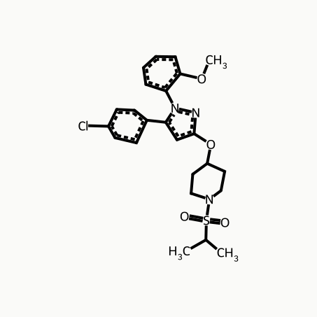 COc1ccccc1-n1nc(OC2CCN(S(=O)(=O)C(C)C)CC2)cc1-c1ccc(Cl)cc1